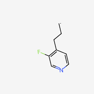 [CH2]CCc1ccncc1F